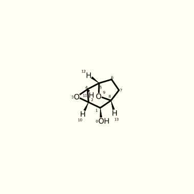 O[C@H]1[C@@H]2O[C@@H]2[C@@H]2CC[C@H]1O2